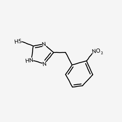 O=[N+]([O-])c1ccccc1Cc1n[nH]c(S)n1